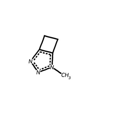 Cn1nnc2c1CC2